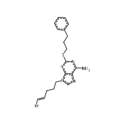 CCC=CCCCn1cnc2c(N)nc(SCCCc3ccccc3)nc21